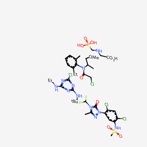 CCNc1nc(Cl)nc(NC(C)(C)C)n1.CCc1cccc(C)c1N(C(=O)CCl)C(C)COC.Cc1nn(-c2cc(NS(C)(=O)=O)c(Cl)cc2Cl)c(=O)n1C(F)F.O=C(O)CNCP(=O)(O)O